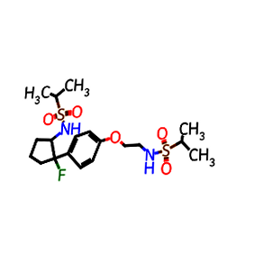 CC(C)S(=O)(=O)NCCOc1ccc(C2(F)CCCC2NS(=O)(=O)C(C)C)cc1